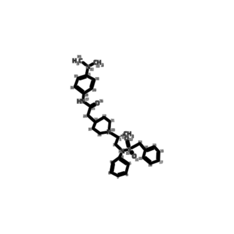 C[C@H](CN(c1ccccc1)S(=O)(=O)Cc1ccccc1)N1CCC(CC(=O)Nc2ccc(N(C)C)cc2)CC1